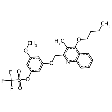 CCCCOc1c(C)c(COc2cc(OC)cc(OS(=O)(=O)C(F)(F)F)c2)nc2ccccc12